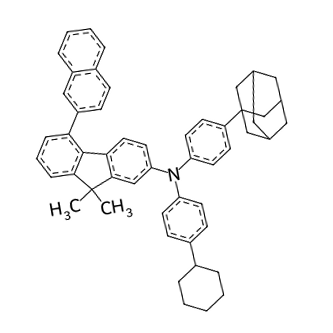 CC1(C)c2cc(N(c3ccc(C4CCCCC4)cc3)c3ccc(C45CC6CC(CC(C6)C4)C5)cc3)ccc2-c2c(-c3ccc4ccccc4c3)cccc21